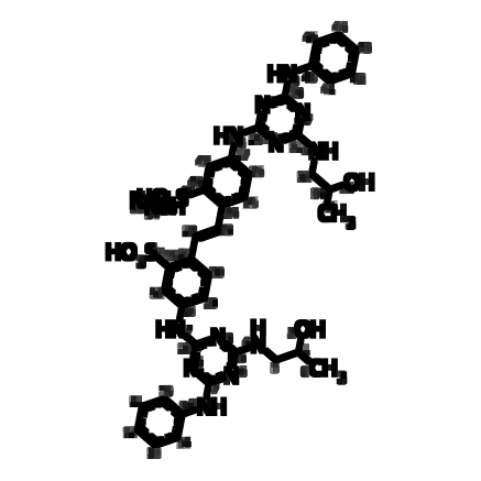 CC(O)CNc1nc(Nc2ccccc2)nc(Nc2ccc(C=Cc3ccc(Nc4nc(NCC(C)O)nc(Nc5ccccc5)n4)cc3S(=O)(=O)O)c(S(=O)(=O)O)c2)n1.[NaH].[NaH]